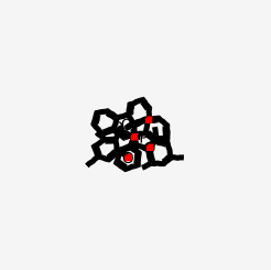 Cc1cc(C)c(C(=O)C(P=O)(c2ccccc2)c2ccccc2-c2ccccc2CP(=O)(C(=O)c2c(C)cc(C)cc2C)c2ccccc2)c(C)c1